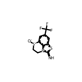 N=c1sc2cc(C(F)(F)F)cc3c2n1CC[S+]3[O-]